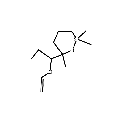 C=COC(CC)C1(C)CCC[Si](C)(C)O1